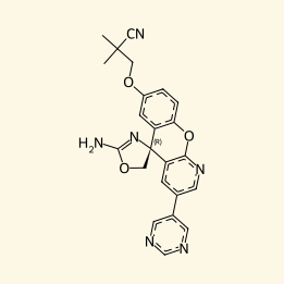 CC(C)(C#N)COc1ccc2c(c1)[C@]1(COC(N)=N1)c1cc(-c3cncnc3)cnc1O2